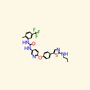 CCCNc1ncc(-c2ccc(Oc3ccc(NC(=O)Nc4cc(C(F)(F)F)ccc4C)cn3)cc2)s1